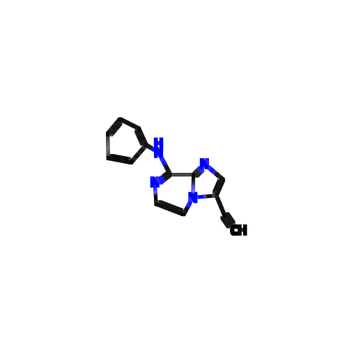 C#Cc1cnc2c(Nc3ccccc3)nccn12